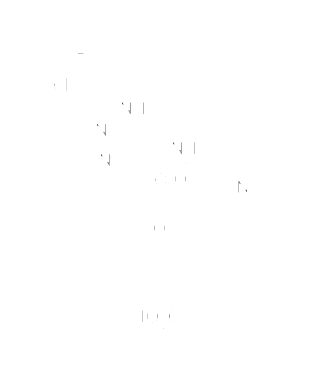 CN(C)CCCC(=O)Nc1cc2c(Nc3ccc(F)c(Cl)c3)ncnc2cc1OCCOCCCCCC(=O)O